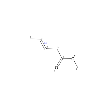 C/C=C/[CH]C(=O)OC